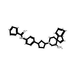 C[C@H]1CN(C2CCC(c3ccc(NC(=O)c4ccccc4)cc3)C2)CCC12C=Cc1ccccc12